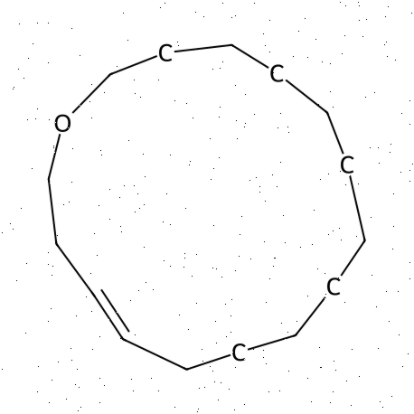 C1=CCCOCCCCCCCCCCC1